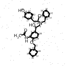 CC(=O)Nc1cc(C(O)CN(Cc2ccccc2)C(C)Cc2ccc(O)cc2)ccc1OCc1ccccc1